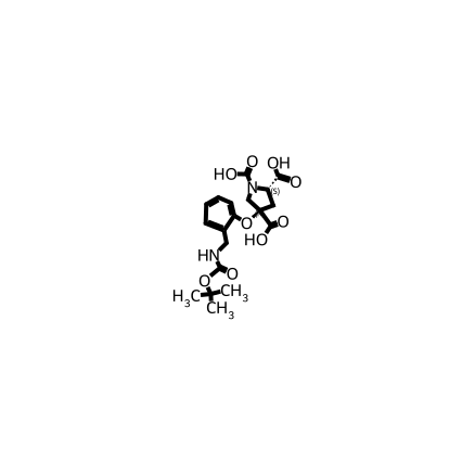 CC(C)(C)OC(=O)NCc1ccccc1O[C@]1(C(=O)O)C[C@@H](C(=O)O)N(C(=O)O)C1